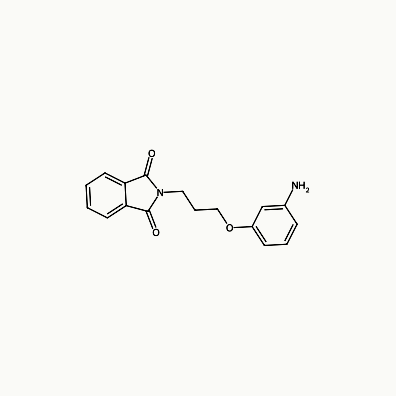 Nc1cccc(OCCCN2C(=O)c3ccccc3C2=O)c1